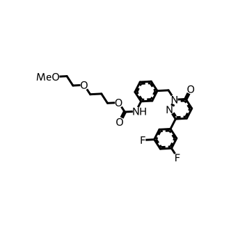 COCCOCCCOC(=O)Nc1cccc(Cn2nc(-c3cc(F)cc(F)c3)ccc2=O)c1